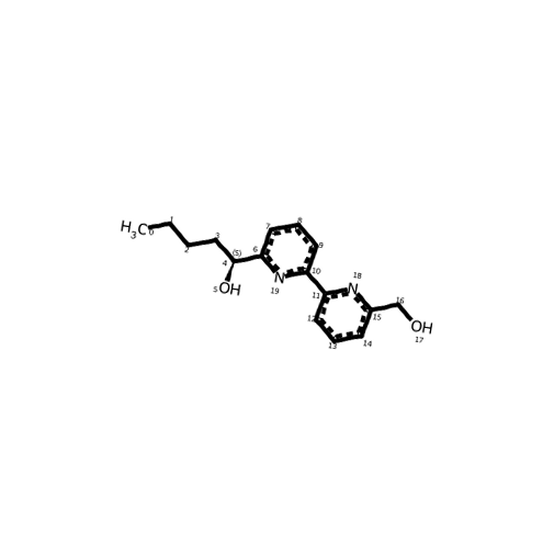 CCCC[C@H](O)c1cccc(-c2cccc(CO)n2)n1